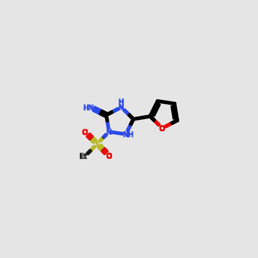 CCS(=O)(=O)N1NC(c2ccco2)NC1=N